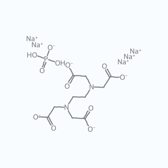 O=C([O-])CN(CCN(CC(=O)[O-])CC(=O)[O-])CC(=O)[O-].O=P([O-])(O)O.[Na+].[Na+].[Na+].[Na+].[Na+]